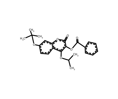 CC(C)Oc1c(OC(=O)c2ccccc2)c(=O)oc2cc(OC(C)(C)C)ccc12